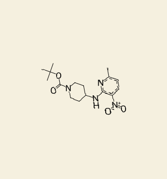 Cc1ccc([N+](=O)[O-])c(NC2CCN(C(=O)OC(C)(C)C)CC2)n1